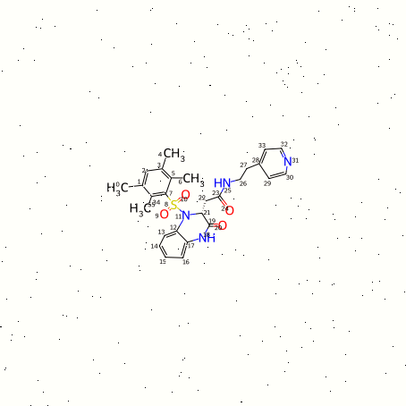 Cc1cc(C)c(C)c(S(=O)(=O)N2c3ccccc3NC(=O)[C@H]2CC(=O)NCCc2ccncc2)c1C